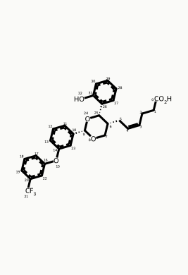 O=C(O)CC/C=C\C[C@@H]1CO[C@H](c2cccc(Oc3cccc(C(F)(F)F)c3)c2)O[C@@H]1c1ccccc1O